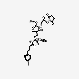 CC(C)(C)OC(=O)[C@H](CCC(=O)N[C@@H](CCC(=O)ON1C(=O)CCC1=O)C(=O)OC(C)(C)C)NC(=O)CCCc1ccc(I)cc1